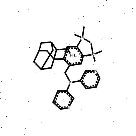 C[Si](C)(C)c1cc(CP(c2cccnc2)c2cccnc2)c(C23CC4CC(CC(C4)C2CP)C3)cc1[Si](C)(C)C